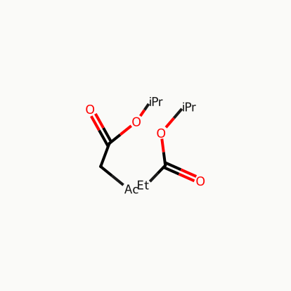 CC(=O)CC(=O)OC(C)C.CCC(=O)OC(C)C